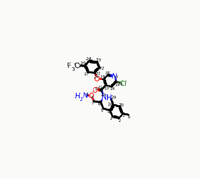 Cc1ccc(CC(CON)NC(=O)c2cc(Cl)ncc2Oc2cccc(C(F)(F)F)c2)c(C)c1